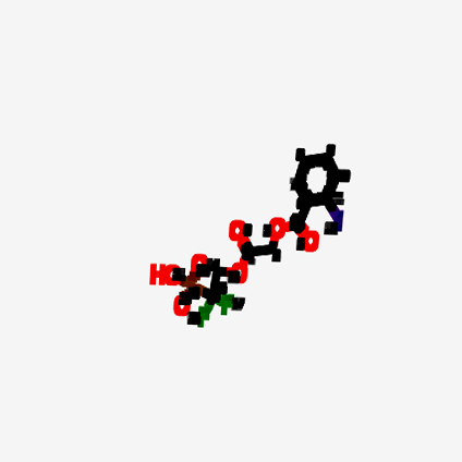 O=C(COC(=O)c1ccccc1I)OCC(F)(F)S(=O)(=O)O